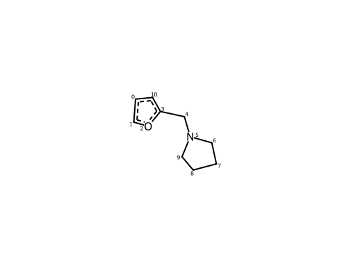 c1coc(CN2CCCC2)c1